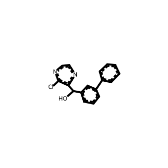 OC(c1cccc(-c2ccccc2)c1)c1nccnc1Cl